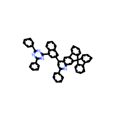 c1ccc(-c2cc(-c3cc(-c4nc(-c5ccccc5)nc(-c5ccccc5)n4)c4ccccc4c3)c3cc4c(cc3n2)C2(c3ccccc3-c3ccccc32)c2ccccc2-4)cc1